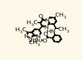 Cc1cc(C(C)Nc2ccccc2C(=O)OC(C)(C)C)c2nc(-c3cnc4c(c3)c(C)nn4C)c(C)c(=O)n2c1